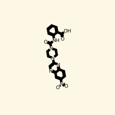 O=C(O)c1ccccc1NC(=O)N1CCN(c2cnc3cc([N+](=O)[O-])ccc3n2)CC1